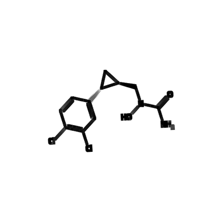 NC(=O)N(O)C[C@@H]1C[C@H]1c1ccc(Cl)c(Cl)c1